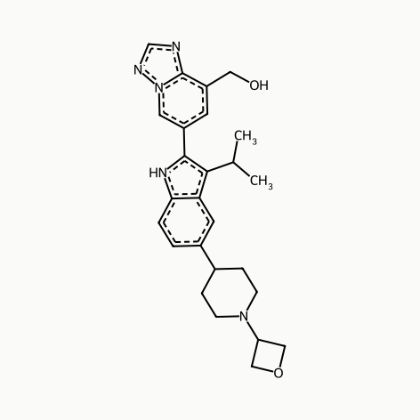 CC(C)c1c(-c2cc(CO)c3ncnn3c2)[nH]c2ccc(C3CCN(C4COC4)CC3)cc12